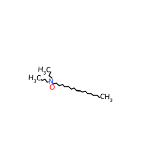 CCCCCCCCC=CCCCCCCCC(=O)N(CCCC)CCCC